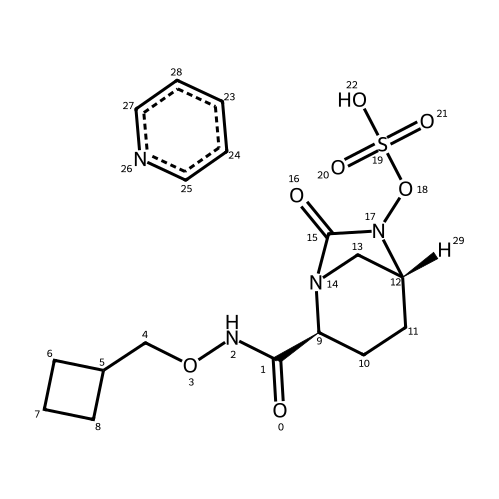 O=C(NOCC1CCC1)[C@@H]1CC[C@@H]2CN1C(=O)N2OS(=O)(=O)O.c1ccncc1